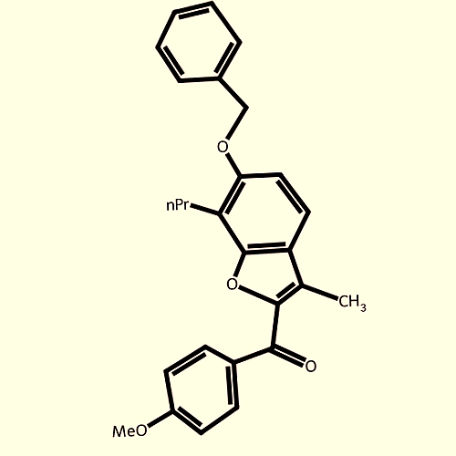 CCCc1c(OCc2ccccc2)ccc2c(C)c(C(=O)c3ccc(OC)cc3)oc12